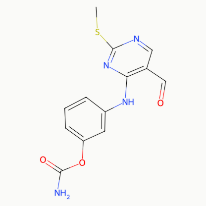 CSc1ncc(C=O)c(Nc2cccc(OC(N)=O)c2)n1